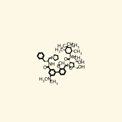 COc1c(CN2O[C@@H](CO)[C@@H]([C@H](C)O)[C@H]2C(=O)N[C@H]2C[C@@H](C)C(C)(C)[C@@H](C)[C@@H]2C)cccc1-c1cc(C(=O)N[C@@H](Cc2ccccc2)CN2CCCC2)cc(N(C)C)c1